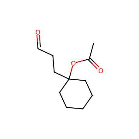 CC(=O)OC1(CCC=O)CCCCC1